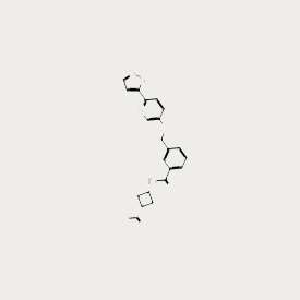 O=C(N[C@H]1C[C@@H](C(=O)O)C1)c1cccc(COc2ccc(-c3ccn[nH]3)nc2)c1